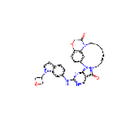 O=C1COc2ccc3cc2N1CCC/C=C\Cn1c(=O)c2cnc(Nc4ccc5ccn(C6COC6)c5c4)nc2n1-3